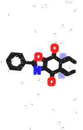 C/C=C1/C(=O)c2nc(-c3ccccc3)oc2C(=O)/C1=C/C